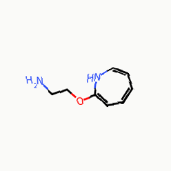 NCCOC1=CC=CC=CN1